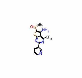 CCCC[S+]([O-])c1sc2nc(-c3cccnc3)nc(C(F)(F)F)c2c1N